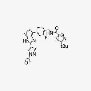 CC(C)(C)c1noc(C(=O)NCc2ccc(-c3ccnc4[nH]c(-c5cnn(C6COC6)c5)nc34)cc2F)n1